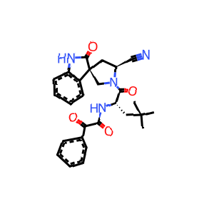 CC(C)(C)C[C@H](NC(=O)C(=O)c1ccccc1)C(=O)N1C[C@]2(C[C@H]1C#N)C(=O)Nc1ccccc12